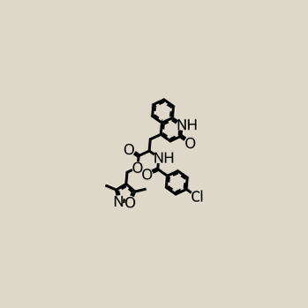 Cc1noc(C)c1COC(=O)C(Cc1cc(=O)[nH]c2ccccc12)NC(=O)c1ccc(Cl)cc1